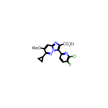 CCOC(=O)c1nc2cc(OC)c(C3CC3)nn2c1-c1ccc(F)c(Cl)n1